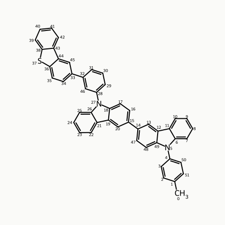 Cc1ccc(-n2c3ccccc3c3cc(-c4ccc5c(c4)c4ccccc4n5-c4cccc(-c5ccc6sc7ccccc7c6c5)c4)ccc32)cc1